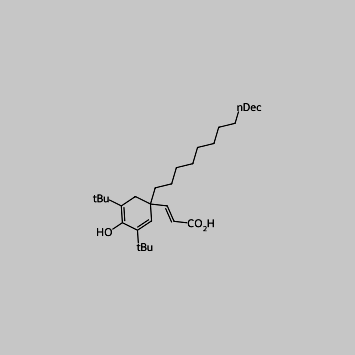 CCCCCCCCCCCCCCCCCCC1(C=CC(=O)O)C=C(C(C)(C)C)C(O)=C(C(C)(C)C)C1